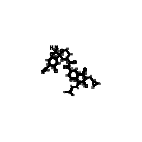 CC(C)=CCn1c(=O)n(CC2CC2)c(=O)c2cc(NC(=O)N3CCOC(C(N)=O)(c4ccc(C#N)c(Cl)c4)C3)ccc21